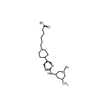 CC1CC(Nc2ncc(C3CCN(CCCCCC(=O)C(C)C)CC3)cn2)CN(C(C)C)C1